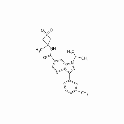 Cc1cccc(-c2nn(C(C)C)c3cc(C(=O)NC4(C)CS(=O)(=O)C4)cnc23)c1